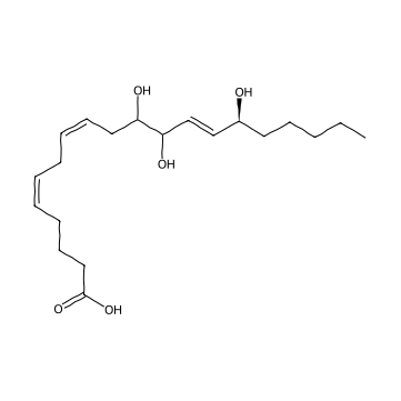 CCCCC[C@H](O)/C=C/C(O)C(O)C/C=C\C/C=C\CCCC(=O)O